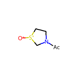 CC(=O)N1CC[S+]([O-])C1